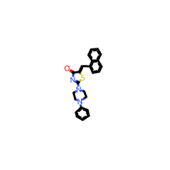 O=C1N=C(N2CCN(c3ccccc3)CC2)SC1=Cc1cccc2ccccc12